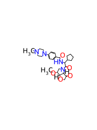 CO[C@H]1CN(C(=O)[C@@H](NC(=O)c2ccc(N3CCN(C)CC3)cc2)C2CCCC2)[C@@H]2C(=O)CO[C@H]12